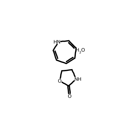 C1=CC=CNC=C1.O.O=C1NCCO1